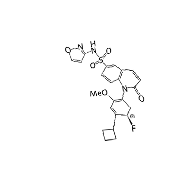 COC1=C(n2c(=O)ccc3cc(S(=O)(=O)Nc4ccon4)ccc32)C[C@@H](F)C(C2CCC2)=C1